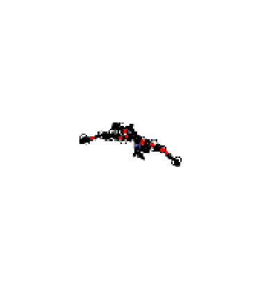 C=CC(=O)OCCCCCCOc1ccc(OC(=O)C2CCC(C(=O)Oc3ccc(-c4ccc(OC(=O)C5CCC(C(=O)Oc6ccc(OCCCCCCOC(=O)C=C)cc6)CC5)c(/C=N/N(CC(CC)CCCCC)c5nc6ccccc6s5)c4)cc3/C=N/N(CC(CC)CCCCC)c3nc4ccccc4s3)CC2)cc1